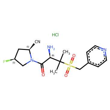 CC(C)([C@H](N)C(=O)N1C[C@@H](F)C[C@H]1C#N)S(=O)(=O)Cc1ccncc1.Cl